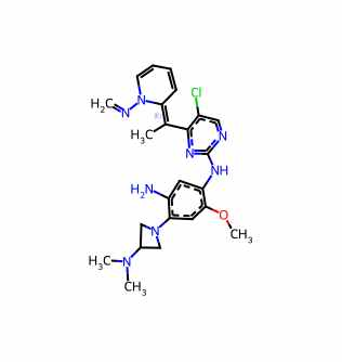 C=NN1C=CC=C/C1=C(/C)c1nc(Nc2cc(N)c(N3CC(N(C)C)C3)cc2OC)ncc1Cl